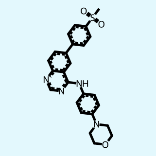 CS(=O)(=O)c1ccc(-c2ccc3ncnc(Nc4ccc(N5CCOCC5)cc4)c3c2)cc1